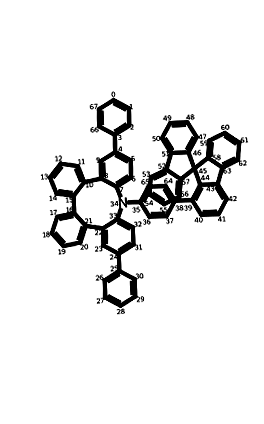 c1ccc(-c2ccc3c(c2)c2ccccc2c2ccccc2c2cc(-c4ccccc4)ccc2n3-c2ccc(-c3cccc4c3C3(c5ccccc5-c5ccccc53)c3ccccc3-4)cc2)cc1